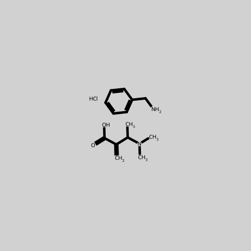 C=C(C(=O)O)C(C)N(C)C.Cl.NCc1ccccc1